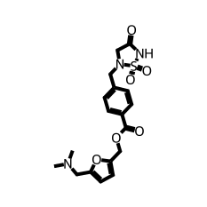 CN(C)Cc1ccc(COC(=O)c2ccc(CN3CC(=O)NS3(=O)=O)cc2)o1